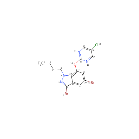 FC(F)(F)CCCn1nc(Br)c2cc(Br)cc(Oc3ncc(Cl)cn3)c21